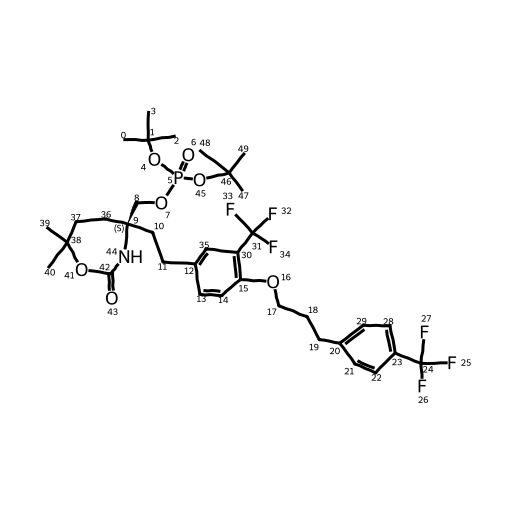 CC(C)(C)OP(=O)(OC[C@]1(CCc2ccc(OCCCc3ccc(C(F)(F)F)cc3)c(C(F)(F)F)c2)CCC(C)(C)OC(=O)N1)OC(C)(C)C